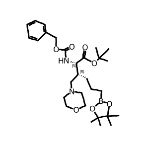 CC(C)(C)OC(=O)[C@@H](NC(=O)OCc1ccccc1)[C@H](CCCB1OC(C)(C)C(C)(C)O1)CN1CCOCC1